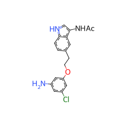 CC(=O)Nc1c[nH]c2ccc(CCOc3cc(N)cc(Cl)c3)cc12